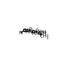 CC(C)CC(CO)NC(=O)c1ccc(NC(=O)N2Cc3ccc(C#N)cc3C2)cc1